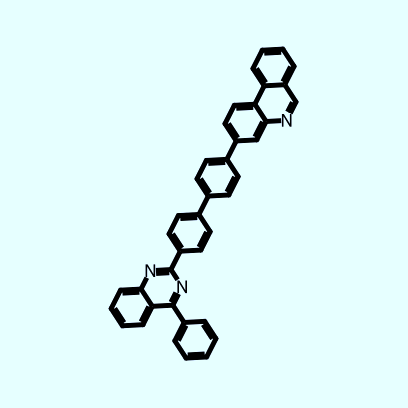 c1ccc(-c2nc(-c3ccc(-c4ccc(-c5ccc6c(c5)ncc5ccccc56)cc4)cc3)nc3ccccc23)cc1